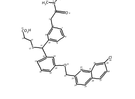 CN(C)C(=O)Cc1cccc(C(SCCC(=O)O)c2cccc(OCc3ccc4ccc(Cl)cc4n3)c2)c1